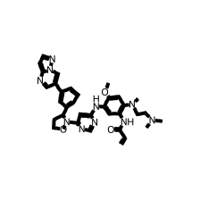 C=CC(=O)Nc1cc(Nc2cc(N3OCCC3c3cccc(-c4cnc5ccnn5c4)c3)ncn2)c(OC)cc1N(C)CCN(C)C